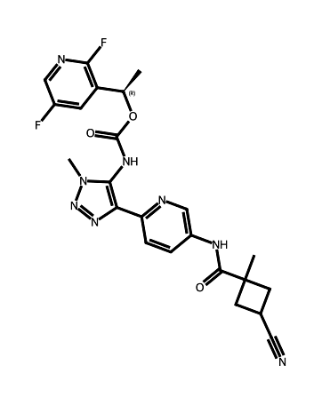 C[C@@H](OC(=O)Nc1c(-c2ccc(NC(=O)C3(C)CC(C#N)C3)cn2)nnn1C)c1cc(F)cnc1F